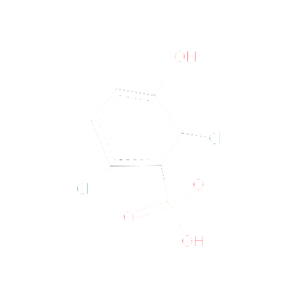 O=S(=O)(O)c1c(Cl)ccc(O)c1Cl